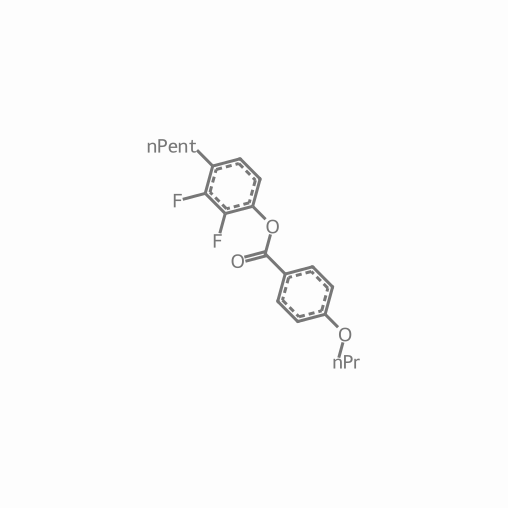 CCCCCc1ccc(OC(=O)c2ccc(OCCC)cc2)c(F)c1F